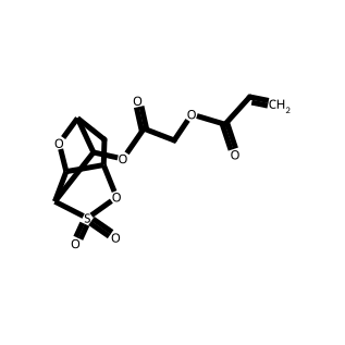 C=CC(=O)OCC(=O)OC1C2CC3OS(=O)(=O)C1C3O2